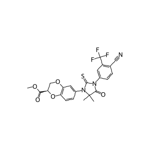 COC(=O)[C@H]1COc2cc(N3C(=S)N(c4ccc(C#N)c(C(F)(F)F)c4)C(=O)C3(C)C)ccc2O1